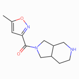 Cc1cc(C(=O)N2CC3CCNCC3C2)no1